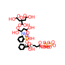 CCCC(=O)O.NC(CC(=O)O)C(=O)O.O=C(O)CC(O)(CC(=O)O)C(=O)O.O=C(O)c1ccccc1.O=S(=O)(O)OS(=O)(=O)O.O=S(=O)(O)c1ccccc1